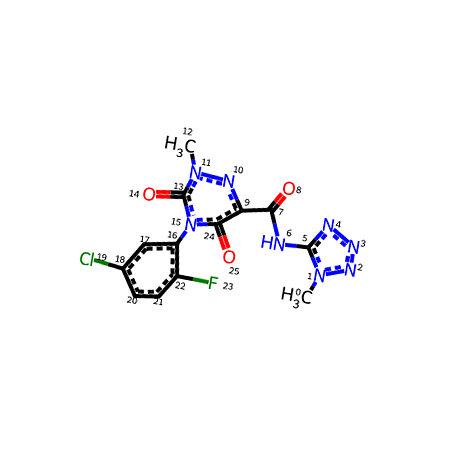 Cn1nnnc1NC(=O)c1nn(C)c(=O)n(-c2cc(Cl)ccc2F)c1=O